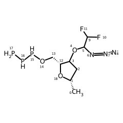 C[C@H]1CC(OC(N=[N+]=[N-])C(F)F)[C@@H](COPPP)O1